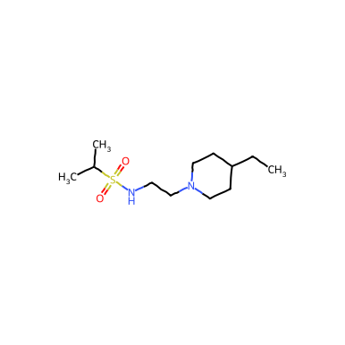 CCC1CCN(CCNS(=O)(=O)C(C)C)CC1